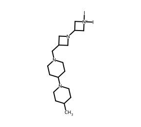 CC1CCN(C2CCN(CC3CN(C4C[N+](I)(I)C4)C3)CC2)CC1